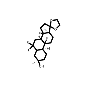 C[C@@]1(O)CC[C@H]2C(C1)C(F)(F)C[C@@H]1[C@@H]2CC[C@@]2(C)[C@H]1CCC21OCCO1